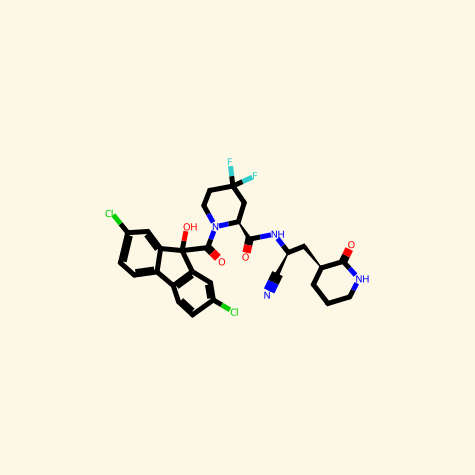 N#C[C@H](C[C@@H]1CCCNC1=O)NC(=O)[C@@H]1CC(F)(F)CCN1C(=O)C1(O)c2cc(Cl)ccc2-c2ccc(Cl)cc21